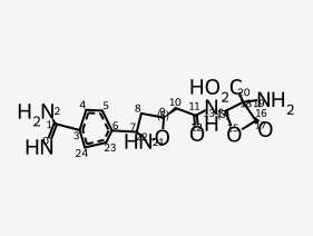 N=C(N)c1ccc(C2C[C@@H](CC(=O)N[C@H]3OC(=O)C3(N)C(=O)O)ON2)cc1